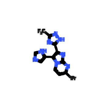 CC(C)c1ccn2c(-c3cnc[nH]3)c(-c3nc(C(F)(F)F)n[nH]3)nc2n1